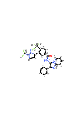 O=C(Nc1c(-c2ccccc2)nc2ccccn12)c1ccc(C(F)(F)F)c(C2C=CN(C(F)F)N2)c1